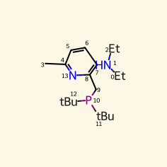 CCNCC.Cc1cccc(CP(C(C)(C)C)C(C)(C)C)n1